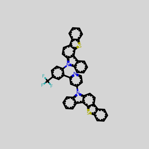 FC(F)(F)c1ccc(-n2c3ccccc3c3c4sc5ccccc5c4ccc32)c(-c2cc(-n3c4ccccc4c4c5sc6ccccc6c5ccc43)ccn2)c1